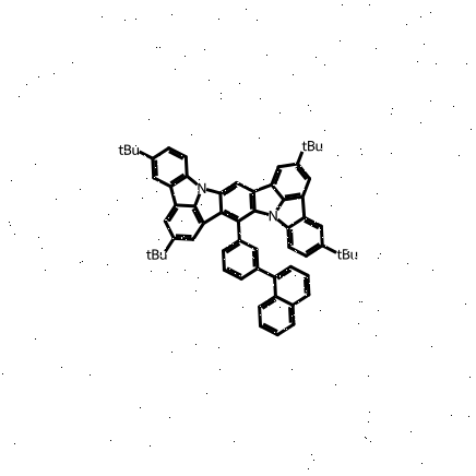 CC(C)(C)c1ccc2c(c1)c1cc(C(C)(C)C)cc3c4c(-c5cccc(-c6cccc7ccccc67)c5)c5c(cc4n2c13)c1cc(C(C)(C)C)cc2c3cc(C(C)(C)C)ccc3n5c21